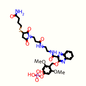 COc1cc(OP(=O)(O)O)cc(OC)c1COc1nc2ccccc2nc1C(=O)NCCNC(=O)CCN1C(=O)CC(SCCCC(N)=O)C1=O